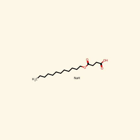 CCCCCCCCCCCCOC(=O)CCC(=O)O.[NaH]